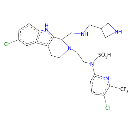 O=S(=O)(O)N(CCN1CCc2c([nH]c3ccc(Cl)cc23)C1CNCC1CNC1)c1ccc(Cl)c(C(F)(F)F)n1